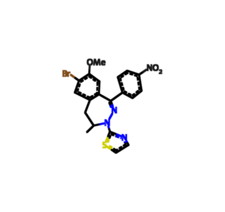 COc1cc2c(cc1Br)CC(C)N(c1nccs1)N=C2c1ccc([N+](=O)[O-])cc1